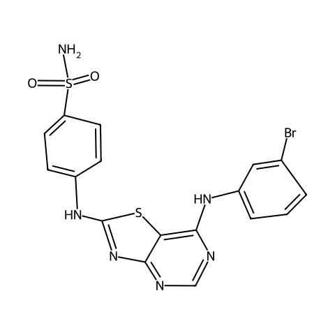 NS(=O)(=O)c1ccc(Nc2nc3ncnc(Nc4cccc(Br)c4)c3s2)cc1